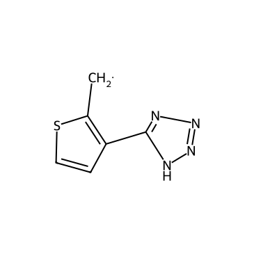 [CH2]c1sccc1-c1nnn[nH]1